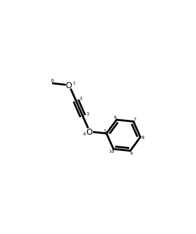 COC#COc1ccccc1